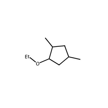 CCOC1CC(C)CC1C